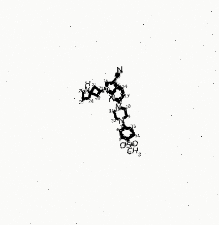 CS(=O)(=O)c1ccc(N2CCN(c3ccc4c(C#N)cn(C5CC6(CCCN6)C5)c4n3)CC2)cc1